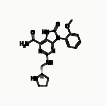 COc1ccccc1-n1c(=O)[nH]c2c(C(N)=O)nc(NC[C@@H]3CCCN3)nc21